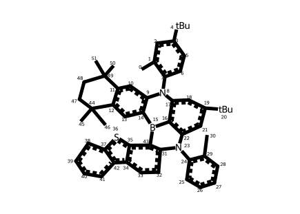 Cc1cc(C(C)(C)C)ccc1N1c2cc3c(cc2B2c4c1cc(C(C)(C)C)cc4N(c1ccccc1C)c1ccc4c(sc5ccccc54)c12)C(C)(C)CCC3(C)C